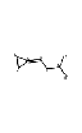 CC(C)CC=C1CC1